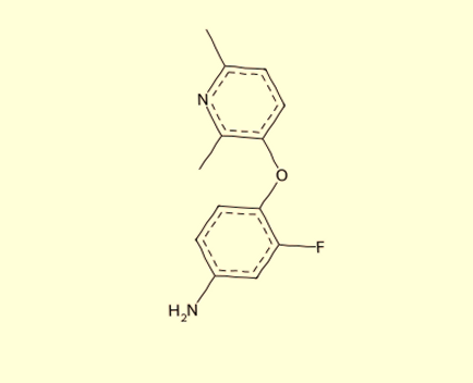 Cc1ccc(Oc2ccc(N)cc2F)c(C)n1